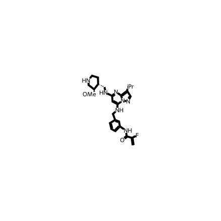 C=C(F)C(=O)Nc1cccc(CNc2cc(NC[C@H]3CCNC[C@@H]3OC)nc3c(C(C)C)cnn23)c1